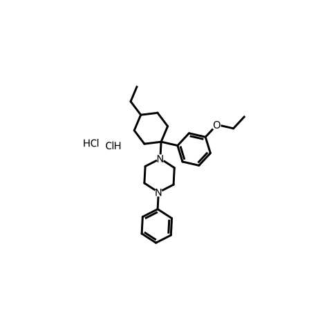 CCOc1cccc(C2(N3CCN(c4ccccc4)CC3)CCC(CC)CC2)c1.Cl.Cl